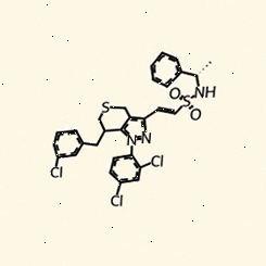 C[C@H](NS(=O)(=O)/C=C/c1nn(-c2ccc(Cl)cc2Cl)c2c1CSCC2Cc1cccc(Cl)c1)c1ccccc1